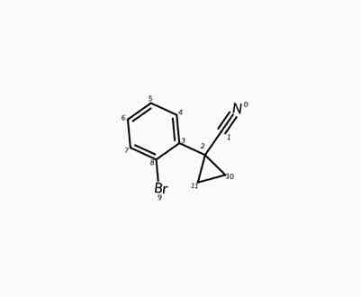 N#CC1(c2ccccc2Br)CC1